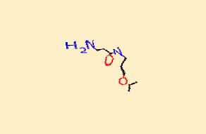 CC(C)OCCCN(C)C(=O)CCN